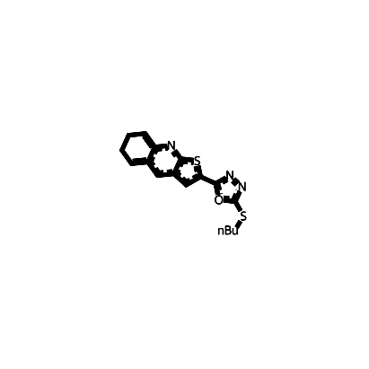 CCCCSc1nnc(-c2cc3cc4c(nc3s2)=CCCC=4)o1